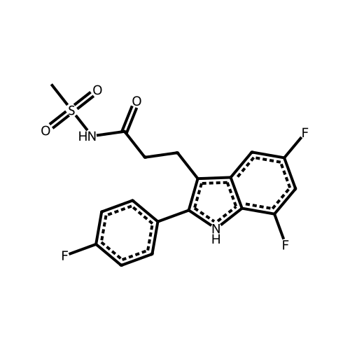 CS(=O)(=O)NC(=O)CCc1c(-c2ccc(F)cc2)[nH]c2c(F)cc(F)cc12